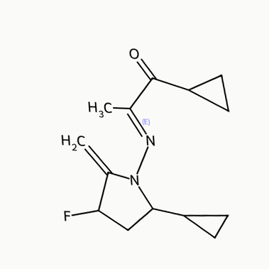 C=C1C(F)CC(C2CC2)N1/N=C(\C)C(=O)C1CC1